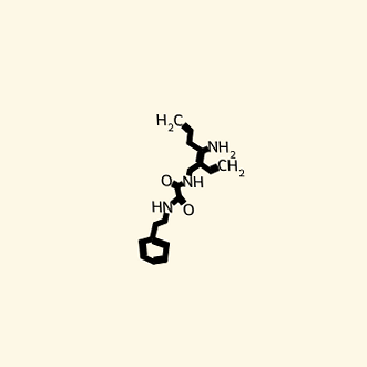 C=CC/C(N)=C(/C=C)CNC(=O)C(=O)NCCc1ccccc1